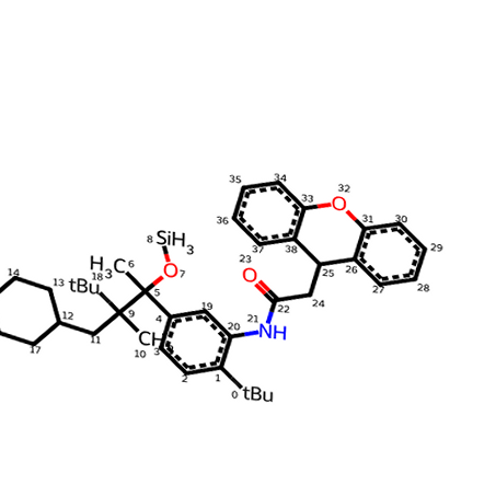 CC(C)(C)c1ccc(C(C)(O[SiH3])C(C)(CC2CCCCC2)C(C)(C)C)cc1NC(=O)CC1c2ccccc2Oc2ccccc21